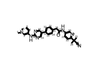 C=C/C(=C\N(C)C)Nc1ncc(-c2ccc(CC(=O)Nc3ccc(C(C)(C)C#N)nc3)cc2)cn1